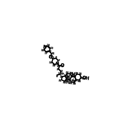 CC(CCC(=O)N1CCC(OCc2ccncc2)CC1)[C@H]1CC[C@H]2[C@@H]3CC=C4C[C@@H](O)CC[C@]4(C)[C@H]3CC[C@]12C